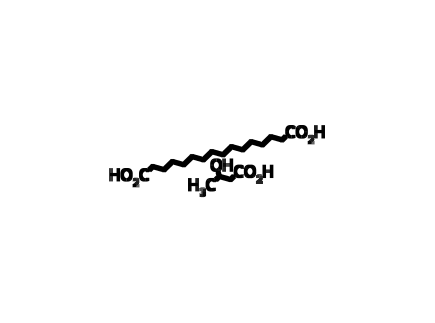 CC(O)CC(=O)O.O=C(O)CCCCCCCCCCCCCCC(=O)O